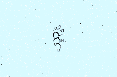 Cc1ccc(S(=O)(=O)Cl)c(C)c1NC(=O)CCl